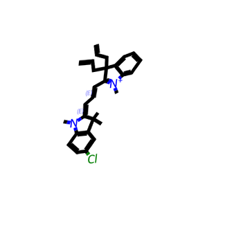 C=CCC1(CC=C)C(/C=C/C=C2/N(C)c3ccc(Cl)cc3C2(C)C)=[N+](C)c2ccccc21